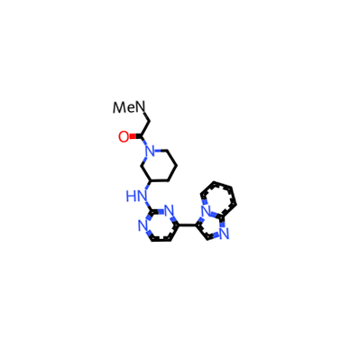 CNCC(=O)N1CCCC(Nc2nccc(-c3cnc4ccccn34)n2)C1